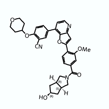 COc1cc(C(=O)N2C[C@H]3C[C@@H](O)C[C@H]3C2)ccc1-c1cc2nccc(-c3ccc(OC4CCOCC4)c(C#N)c3)c2o1